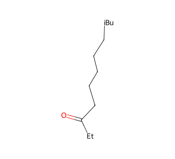 CCC(=O)CCCCCC(C)CC